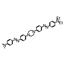 CCN(CC)c1ccc(/N=N/c2ccc(N3CCN(c4ccc(/N=N/c5ccc(N(C)C)cc5)cc4)CC3)cc2)cc1